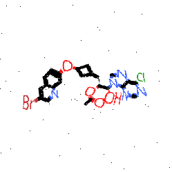 CC(=O)O[C@H](CC1CC(Oc2ccc3cc(Br)cnc3c2)C1)[C@@H](O)n1cnc2c(Cl)ncnc21